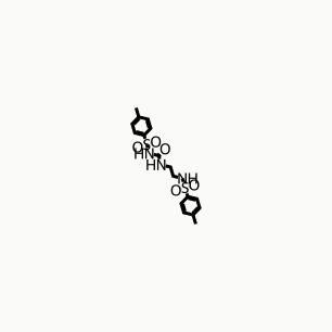 Cc1ccc(S(=O)(=O)NCCNC(=O)NS(=O)(=O)c2ccc(C)cc2)cc1